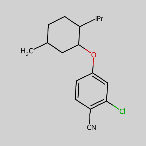 CC1CCC(C(C)C)C(Oc2ccc(C#N)c(Cl)c2)C1